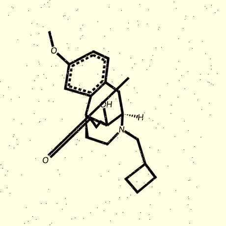 COc1ccc2c(c1)[C@]13CCN(CC4CCC4)[C@H](C2)C1(O)CCC(=O)C3